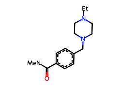 CCN1CCN(Cc2ccc(C(=O)NC)cc2)CC1